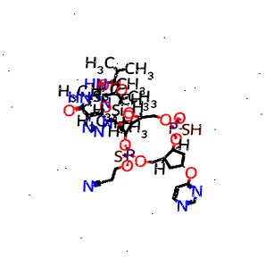 CC(C)C(=O)Nc1nc2c(nnn2[C@@H]2O[C@@H]3CO[P@](=O)(S)O[C@H]4C[C@H](Oc5ccncn5)C[C@@H]4CO[P@@](=S)(OCCC#N)O[C@@H]2[C@@H]3O[Si](O[Si](O)(C(C)C)C(C)C)(C(C)C)C(C)C)c(=O)[nH]1